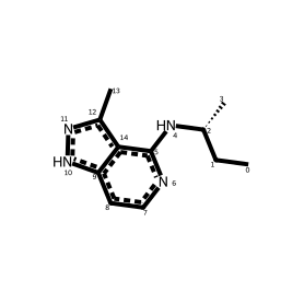 CC[C@@H](C)Nc1nccc2[nH]nc(C)c12